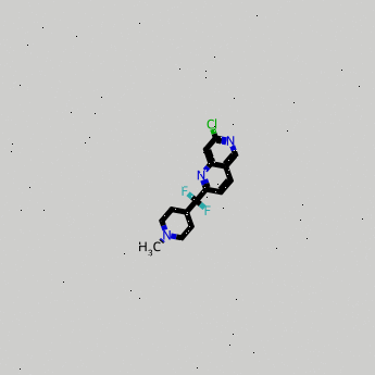 CN1CCC(C(F)(F)c2ccc3cnc(Cl)cc3n2)CC1